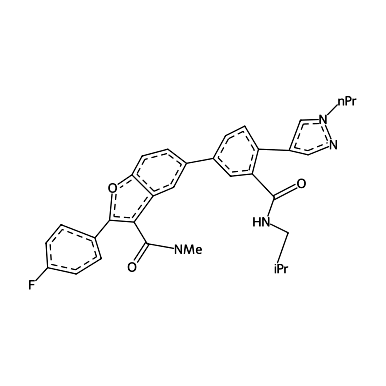 CCCn1cc(-c2ccc(-c3ccc4oc(-c5ccc(F)cc5)c(C(=O)NC)c4c3)cc2C(=O)NCC(C)C)cn1